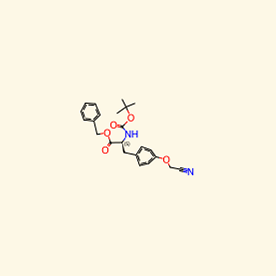 CC(C)(C)OC(=O)N[C@@H](Cc1ccc(OCC#N)cc1)C(=O)OCc1ccccc1